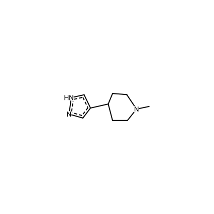 CN1CCC(c2cn[nH]c2)CC1